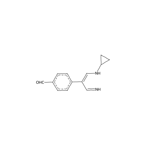 N=C/C(=C\NC1CC1)c1ccc(C=O)cc1